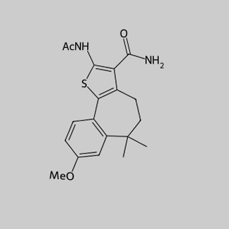 COc1ccc2c(c1)C(C)(C)CCc1c-2sc(NC(C)=O)c1C(N)=O